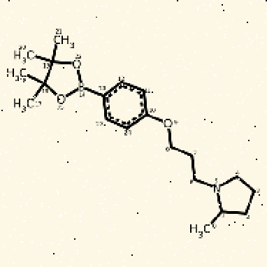 CC1CCCN1CCCOc1ccc(B2OC(C)(C)C(C)(C)O2)cc1